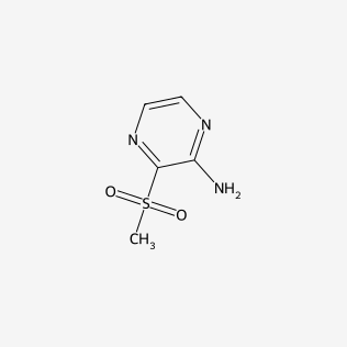 CS(=O)(=O)c1nccnc1N